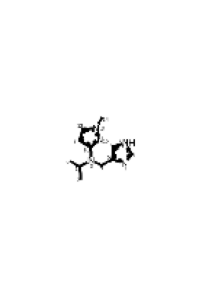 CC(C)N(Cc1c[nH]cn1)c1ccn(C)n1